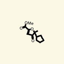 COC(=O)C1=CC(=O)C(C)(C2CCCC2)O1